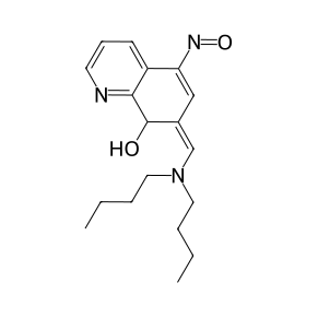 CCCCN(C=C1C=C(N=O)c2cccnc2C1O)CCCC